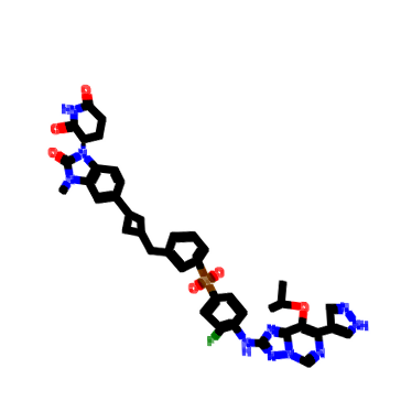 CC(C)Oc1c(-c2cn[nH]c2)ncn2nc(Nc3ccc(S(=O)(=O)c4cccc(CC5CC(c6ccc7c(c6)n(C)c(=O)n7[C@H]6CCC(=O)NC6=O)C5)c4)cc3F)nc12